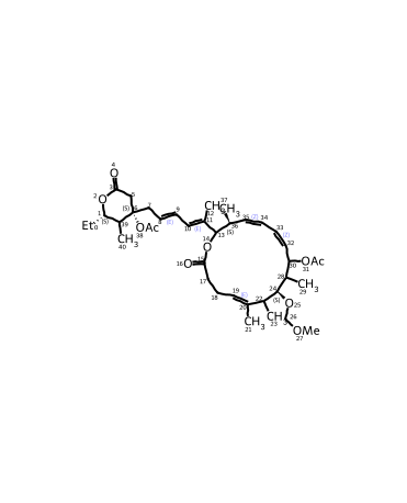 CC[C@@H]1OC(=O)C[C@](C/C=C/C=C(\C)C2OC(=O)CC/C=C(\C)C(C)[C@H](OCOC)C(C)C(OC(C)=O)/C=C\C=C/[C@@H]2C)(OC(C)=O)C1C